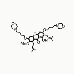 COc1c(OCCCCN2CCOCC2)cc2oc3cc(OCCCCN4CCOCC4)c(CC=C(C)C)c(O)c3c(=O)c2c1CC=C(C)C